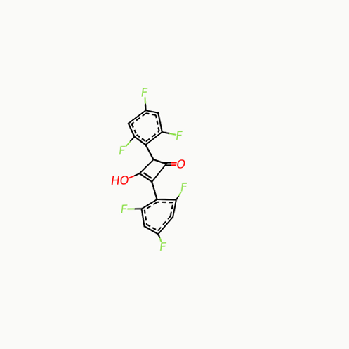 O=C1C(c2c(F)cc(F)cc2F)=C(O)C1c1c(F)cc(F)cc1F